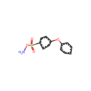 NOS(=O)(=O)c1ccc(Oc2ccccc2)cc1